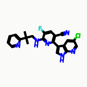 CC(C)(CNc1nc(-c2c[nH]c3ncc(Cl)cc23)c(C#N)cc1F)c1ccccn1